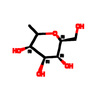 CC1O[C@@H](CO)[C@H](O)[C@@H](O)[C@@H]1O